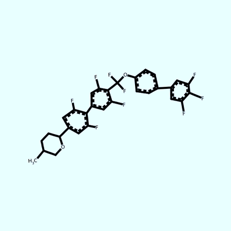 CC1CCC(c2cc(F)c(-c3cc(F)c(C(F)(F)Oc4ccc(-c5cc(F)c(F)c(F)c5)cc4)c(F)c3)c(F)c2)OC1